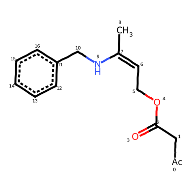 CC(=O)CC(=O)OC/C=C(/C)NCc1ccccc1